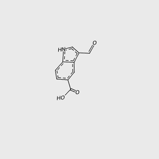 O=Cc1c[nH]c2ccc(C(=O)O)cc12